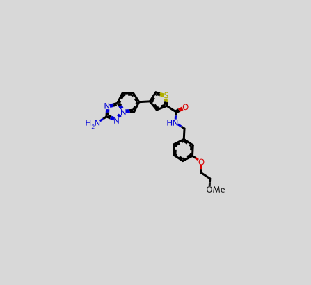 COCCOc1cccc(CNC(=O)c2cc(-c3ccc4nc(N)nn4c3)cs2)c1